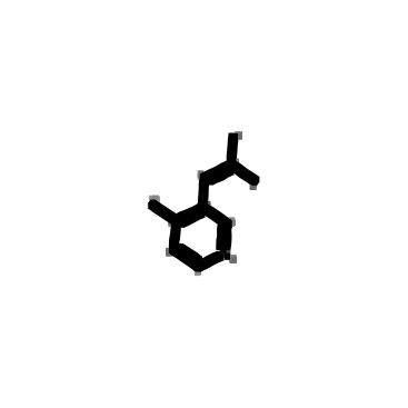 CC(C)=Cc1cnccc1C